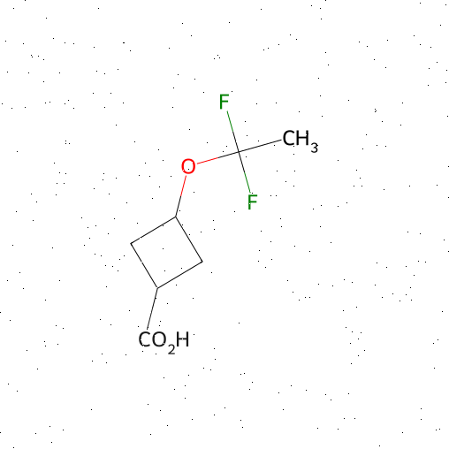 CC(F)(F)OC1CC(C(=O)O)C1